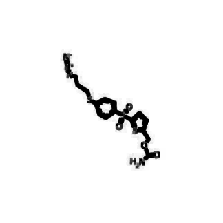 [N-]=[N+]=NCCCSc1ccc(S(=O)(=O)c2ccc(COC(N)=O)s2)cc1